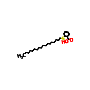 CCCCCCCCCCCCCCCCCCSc1ccccc1C(=O)O